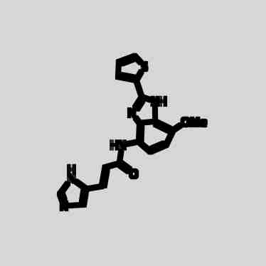 COc1ccc(NC(=O)C=Cc2cnc[nH]2)c2nc(-c3cccs3)[nH]c12